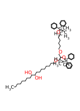 CCCCCCCCC(O)C(O)CCCCCCCCOCC(COCCCCCCO[Si](c1ccccc1)(c1ccccc1)C(C)(C)C)O[Si](c1ccccc1)(c1ccccc1)C(C)(C)C